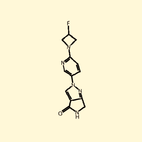 O=C1NCc2nn(-c3ccc(N4CC(F)C4)nc3)cc21